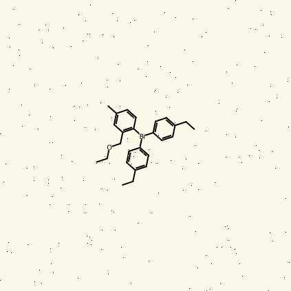 CCOCc1cc(C)cc[c]1[Bi]([c]1ccc(CC)cc1)[c]1ccc(CC)cc1